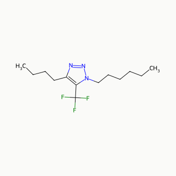 CCCCCCn1nnc(CCCC)c1C(F)(F)F